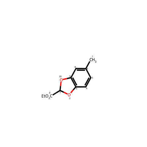 CCOC(=O)C1Oc2ccc(C)cc2O1